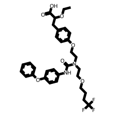 CCOC(Cc1ccc(OCCN(CCOCCCC(F)(F)F)C(=O)Nc2ccc(Oc3ccccc3)cc2)cc1)C(=O)O